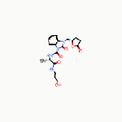 CC(C)(C)[C@H](NC(=O)n1c(=O)n(C[C@H]2CCC(=O)O2)c2ccccc21)C(=O)NCCCO